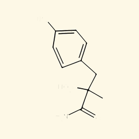 CC(Cc1ccc(C(C)(C)C)cc1)(C(N)=O)C(=O)O